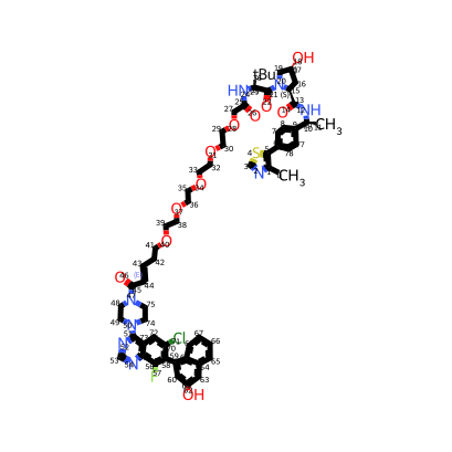 Cc1ncsc1-c1ccc([C@H](C)NC(=O)[C@@H]2C[C@@H](O)CN2C(=O)[C@@H](NC(=O)COCCOCCOCCOCCOCC/C=C/C(=O)N2CCN(c3ncnc4c(F)c(-c5cc(O)cc6ccccc56)c(Cl)cc34)CC2)C(C)(C)C)cc1